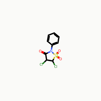 O=C1C(Cl)C(Cl)S(=O)(=O)N1c1ccccc1